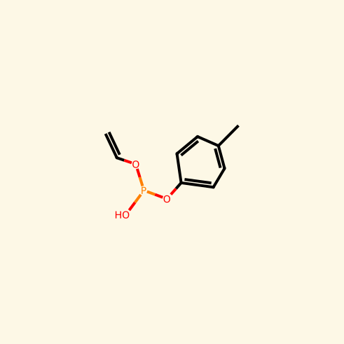 C=COP(O)Oc1ccc(C)cc1